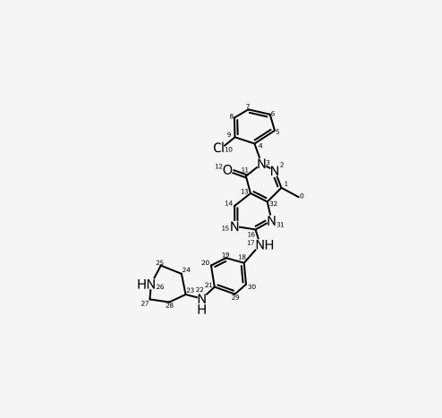 Cc1nn(-c2ccccc2Cl)c(=O)c2cnc(Nc3ccc(NC4CCNCC4)cc3)nc12